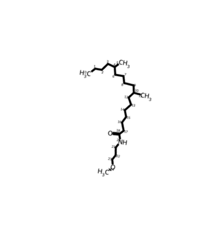 CCCCC(C)CCCCC(C)CCCCCCC(=O)NCCCOC